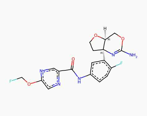 NC1=N[C@@]2(c3cc(NC(=O)c4cnc(OCF)cn4)ccc3F)CCO[C@H]2CO1